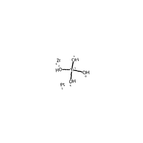 [OH][Ti]([OH])([OH])[OH].[Pt].[Zr]